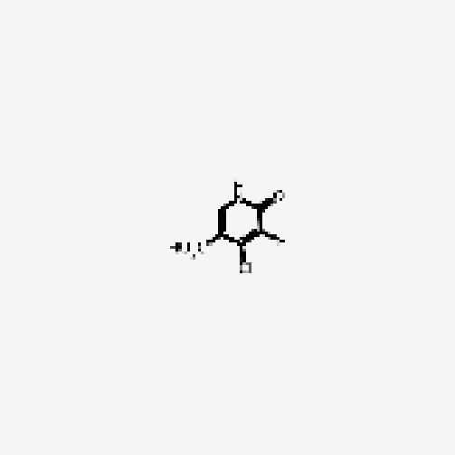 O=C(O)c1c[nH]c(=O)c(F)c1Cl